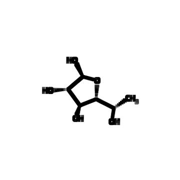 C[C@H](O)[C@H]1O[C@H](O)[C@@H](O)[C@@H]1O